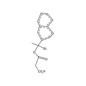 CCC(C)(OC(=O)CC(=O)O)c1ccc2ccccc2c1